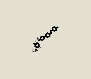 CCOc1cc(C)c(OC(F)(F)C2CCC(C3CCC(/C=C/C4CCC(C)CC4)CC3)CC2)cc1F